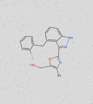 CCc1nc(-c2n[nH]c3cccc(Cc4ccccc4F)c23)oc1CO